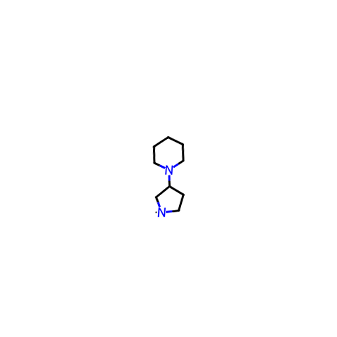 C1CCN(C2CC[N]C2)CC1